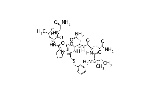 CCC(C)[C@H](N)C(=O)N[C@@H](CCC(N)=O)C(=O)N[C@@H](CC(N)=O)C(=O)N[C@@H](CSCc1ccccc1)C(=O)N1CCC[C@H]1C(=O)N[C@@H](CC(C)C)C(=O)NCC(N)=O